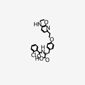 O=C(N[C@@H](Cc1ccc(OCCc2ccc3c(n2)OCCN3)cc1)C(=O)O)c1ccccc1Cl